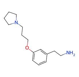 NCCc1cccc(OCCCN2CCCC2)c1